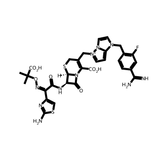 CC(C)(O/N=C(\C(=O)N[C@@H]1C(=O)N2C(C(=O)O)=C(C[n+]3ccc4n(Cc5ccc(C(=N)N)cc5F)ccn43)CS[C@H]12)c1csc(N)n1)C(=O)O